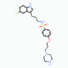 O=S(=O)(NCCCc1c[nH]c2ccc(F)cc12)c1ccc(OCCCN2CCNCC2)cc1